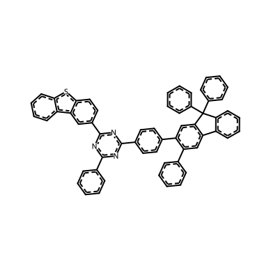 c1ccc(-c2nc(-c3ccc(-c4cc5c(cc4-c4ccccc4)-c4ccccc4C5(c4ccccc4)c4ccccc4)cc3)nc(-c3ccc4sc5ccccc5c4c3)n2)cc1